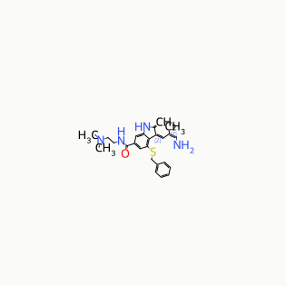 C=c1[nH]c2cc(C(=O)NCCN(C)C)cc(SCc3ccccc3)c2/c1=C/C(C)=C\N